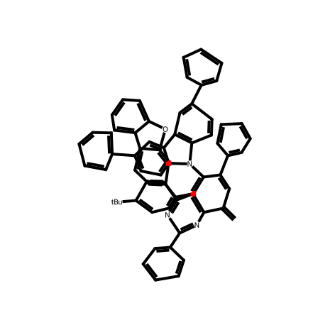 C=C(/C=C(\C(=C\c1ccc(C(C)(C)C)cc1)n1c2ccc(-c3ccccc3)cc2c2cc(-c3ccccc3)ccc21)c1ccccc1)c1cc(-c2ccc3c(c2)oc2ccccc23)nc(-c2ccccc2)n1